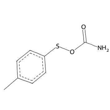 Cc1ccc(SOC(N)=O)cc1